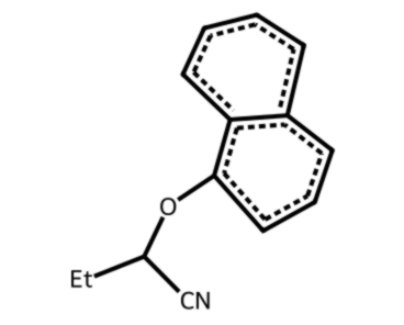 CCC(C#N)Oc1cccc2ccccc12